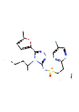 CCCO[C@@H](c1ncc(Cl)cn1)[C@H](C)S(=O)(=O)Nc1nnc(-c2ccc(C)o2)n1C(CCOC)OC